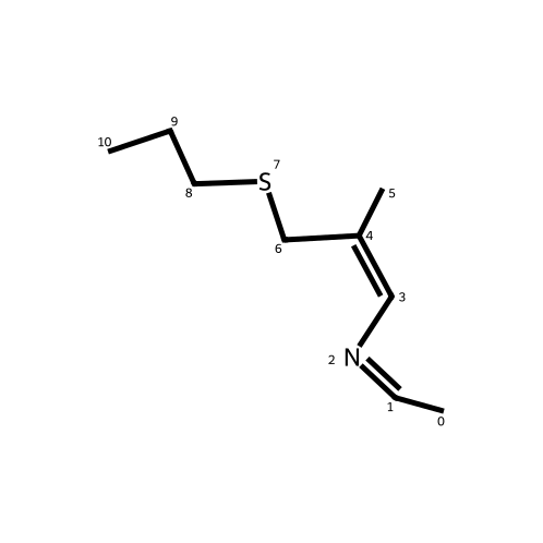 C/C=N\C=C(\C)CSCCC